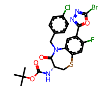 CC(C)(C)OC(=O)N[C@H]1CSc2cc(F)c(-c3nnc(Br)o3)cc2N(Cc2ccc(Cl)cc2)C1=O